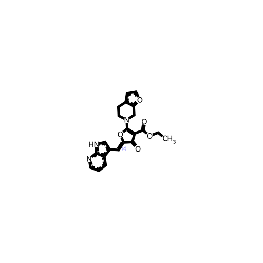 CCOC(=O)C1=C(N2CCc3ccoc3C2)O/C(=C\c2c[nH]c3ncccc23)C1=O